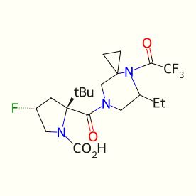 CCC1CN(C(=O)[C@@]2(C(C)(C)C)C[C@@H](F)CN2C(=O)O)CC2(CC2)N1C(=O)C(F)(F)F